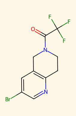 O=C(N1CCc2ncc(Br)cc2C1)C(F)(F)F